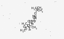 CCc1c(C(=O)C(=O)NC2(c3cnn(COCC[Si](C)(C)C)n3)CC2)c(C)c(C(=O)OC)n1C1CC1